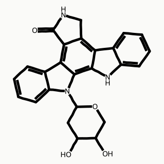 O=C1NCc2c1c1c3ccccc3n(C3CC(O)C(O)CO3)c1c1[nH]c3ccccc3c21